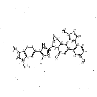 Cn1nc(N)c2ccc(-c3[nH]c(C4C5CC5c5cc(-c6cc(Cl)ccc6-n6cc(Cl)nn6)cc(=O)n54)nc3F)cc21